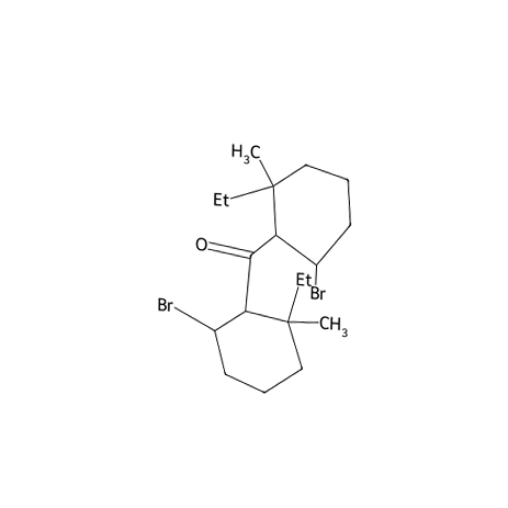 CCC1(C)CCCC(Br)C1C(=O)C1C(Br)CCCC1(C)CC